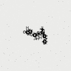 CSc1cc(Oc2ccnc3[nH]c(=O)cnc23)ccc1NC(=O)Nc1cc(C(C)(C)C)nn1-c1ccc(CN2CCOCC2)cc1